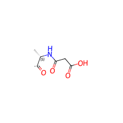 C[C@@H]([C]=O)NC(=O)CC(=O)O